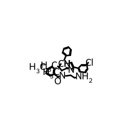 Cc1ccc(C(=O)N(CCCN)[C@@H](c2nc(-c3cccc(Cl)c3)cn2Cc2ccccc2)C(C)(C)C)cc1